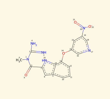 CN(C(=N)N)C(=O)c1cc2cccc(Oc3cncc([N+](=O)[O-])c3)c2[nH]1